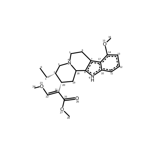 CC[C@@H]1CN2CCc3c([nH]c4cccc(OC)c34)C2C[C@@H]1/C(=C\OC)C(=O)OC